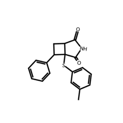 Cc1cccc(SC23C(=O)NC(=O)C2CC3c2ccccc2)c1